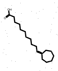 O=C(O)CCCCCCCCCC=C1CCCCCC1